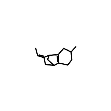 CC=C1CC2CC1C1=C2CCC(C)C1